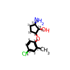 Cc1cc(Cl)ccc1OC1CCC(N)C1O